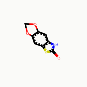 O=c1[nH]c2cc3c(cc2s1)OCO3